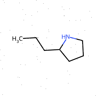 C[CH]CC1CCCN1